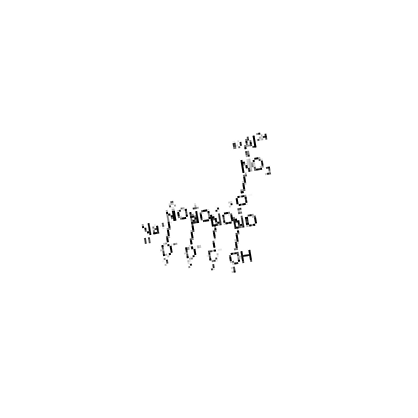 O=NO.O=[N+]([O-])[O-].O=[N+]([O-])[O-].O=[N+]([O-])[O-].O=[N+]([O-])[O-].[Al+3].[Na+]